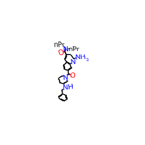 CCCN(CCC)C(=O)C1=Cc2ccc(C(=O)N3CCCC(NCc4ccccc4)C3)cc2N=C(N)C1